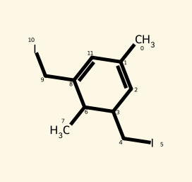 CC1=CC(CI)C(C)C(CI)=C1